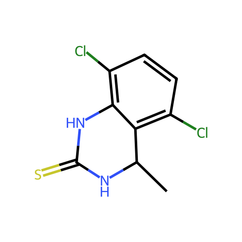 CC1NC(=S)Nc2c(Cl)ccc(Cl)c21